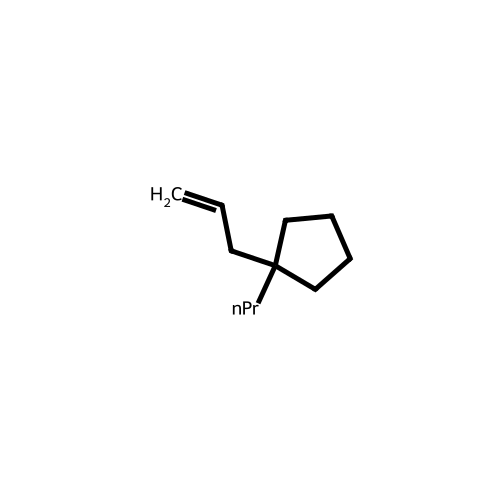 C=CCC1(CCC)CCCC1